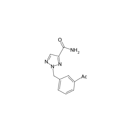 CC(=O)c1cccc(Cn2ncc(C(N)=O)n2)c1